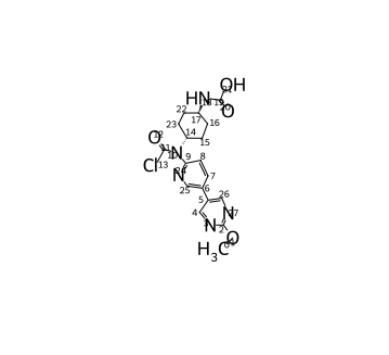 COc1ncc(-c2ccc(N(C(=O)Cl)[C@H]3CC[C@H](NC(=O)O)CC3)nc2)cn1